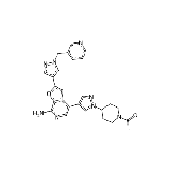 CC(=O)N1CCC(n2cc(-c3cnc(N)c4oc(-c5cnn(Cc6cccnc6)c5)cc34)cn2)CC1